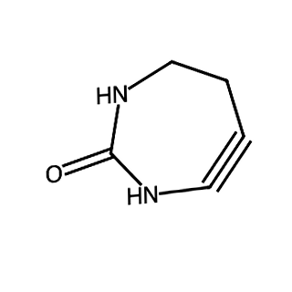 O=C1NC#CCCN1